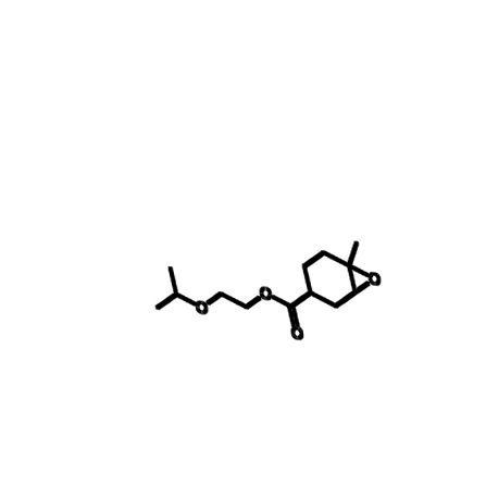 CC(C)OCCOC(=O)C1CCC2(C)OC2C1